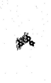 Cc1ccc(-c2ccc(C(F)(F)F)cc2CN(Cc2cc(C(F)(F)F)cc(C(F)(F)F)c2)c2nnn(C)n2)cc1C